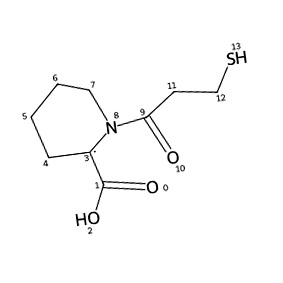 O=C(O)[C]1CCCCN1C(=O)CCS